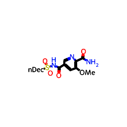 CCCCCCCCCCS(=O)(=O)NC(=O)c1cnc(C(N)=O)c(OC)c1